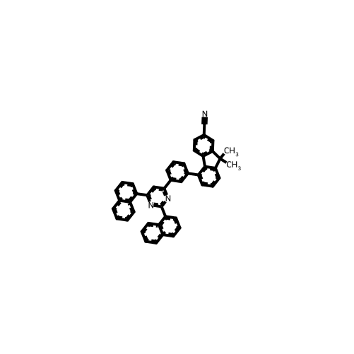 CC1(C)c2cc(C#N)ccc2-c2c(-c3cccc(-c4cc(-c5cccc6ccccc56)nc(-c5cccc6ccccc56)n4)c3)cccc21